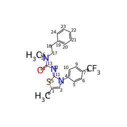 Cc1cn(-c2ccc(C(F)(F)F)cc2)c(=NC(=O)N(C)CCc2ccccc2)s1